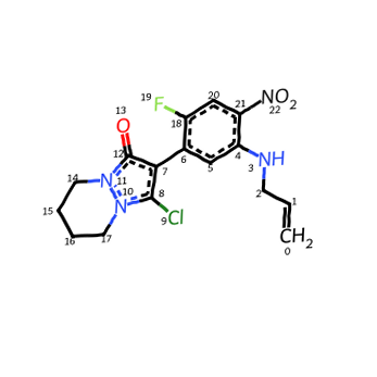 C=CCNc1cc(-c2c(Cl)n3n(c2=O)CCCC3)c(F)cc1[N+](=O)[O-]